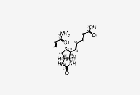 C=CC(N)=O.O=C(O)CCCC[C@@H]1SC[C@@H]2NC(=O)N[C@@H]21